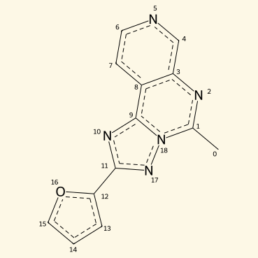 Cc1nc2cnccc2c2nc(-c3ccco3)nn12